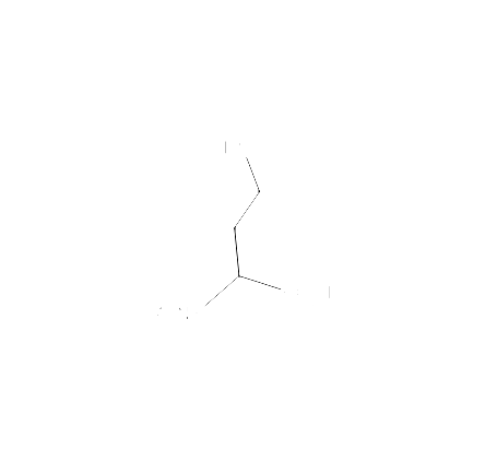 CC(=O)NC(CCS)C(=O)O